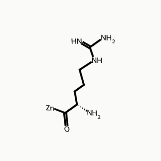 N=C(N)NCCC[C@H](N)[C](=O)[Zn]